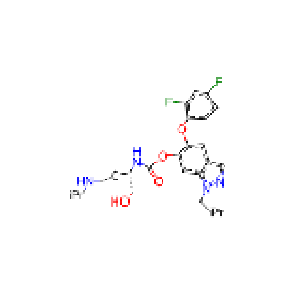 CC(C)Cn1ncc2cc(Oc3ccc(F)cc3F)c(OC(=O)N[C@H](CO)CCNC(C)C)cc21